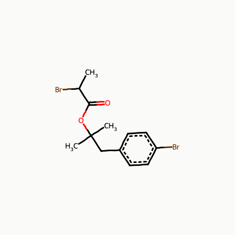 CC(Br)C(=O)OC(C)(C)Cc1ccc(Br)cc1